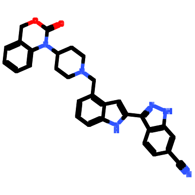 N#Cc1ccc2c(-c3cc4c(CN5CCC(N6C(=O)OCc7ccccc76)CC5)cccc4[nH]3)n[nH]c2c1